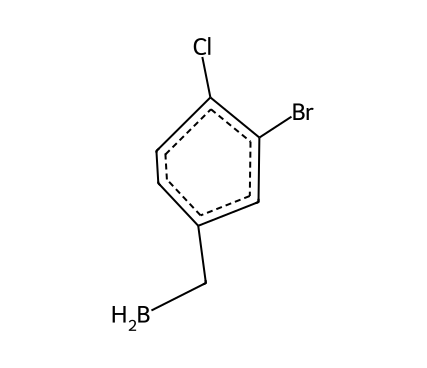 BCc1ccc(Cl)c(Br)c1